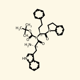 CC(C)(C)OC(=O)N(C(=O)[C@@H](N)Cc1c[nH]c2ccccc12)[C@@H](CCc1ccccc1)C(=O)N1CCc2ccccc21